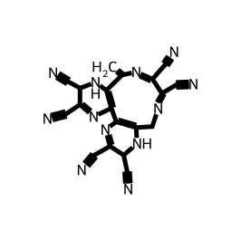 C=C1/N=C(C#N)\C(C#N)=N/CC2=C(N=C(C#N)C(C#N)N2)C2=C1NC(C#N)C(C#N)=N2